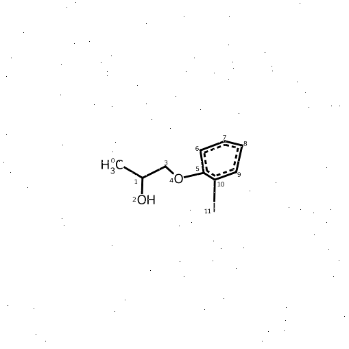 CC(O)COc1ccccc1I